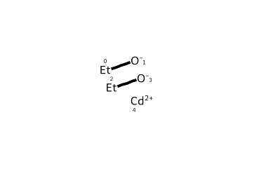 CC[O-].CC[O-].[Cd+2]